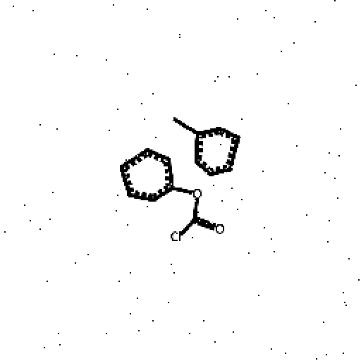 Cc1ccccc1.O=C(Cl)Oc1ccccc1